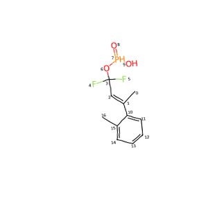 CC(=CC(F)(F)O[PH](=O)O)c1ccccc1C